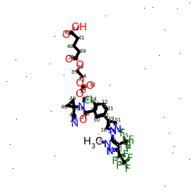 Cn1nc(C(F)(F)C(F)(F)F)c(C(F)(F)F)c1-n1cc(-c2ccc(Cl)c(C(=O)N(COC(=O)OCCOC(=O)CCCC(=O)O)C3(C#N)CC3)c2)cn1